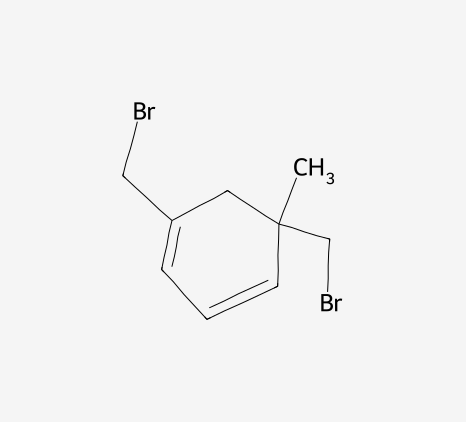 CC1(CBr)C=CC=C(CBr)C1